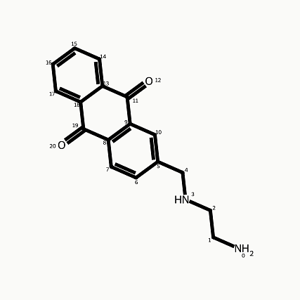 NCCNCc1ccc2c(c1)C(=O)c1ccccc1C2=O